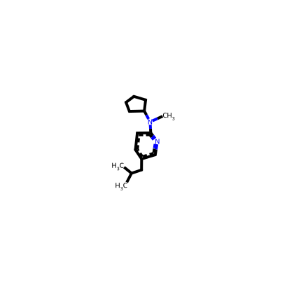 CC(C)Cc1ccc(N(C)C2CCCC2)nc1